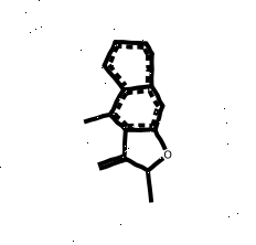 C=C1c2c(cc3ccccc3c2C)OC1C